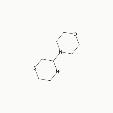 C1CSCC(N2CCOCC2)[N]1